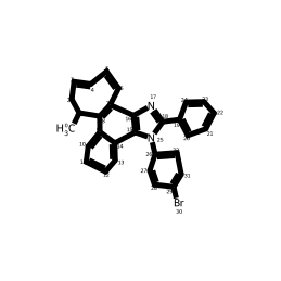 CC1C/C=C/C=C\c2c1c1ccccc1c1c2nc(-c2ccccc2)n1-c1ccc(Br)cc1